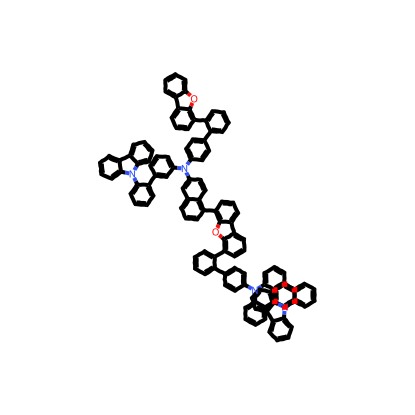 c1ccc(-c2ccccc2N(c2ccc(-c3ccccc3-c3cccc4c3oc3c(-c5cccc6cc(N(c7ccc(-c8ccccc8-c8cccc9c8oc8ccccc89)cc7)c7cccc(-c8ccccc8-n8c9ccccc9c9ccccc98)c7)ccc56)cccc34)cc2)c2cccc(-c3ccccc3-n3c4ccccc4c4ccccc43)c2)cc1